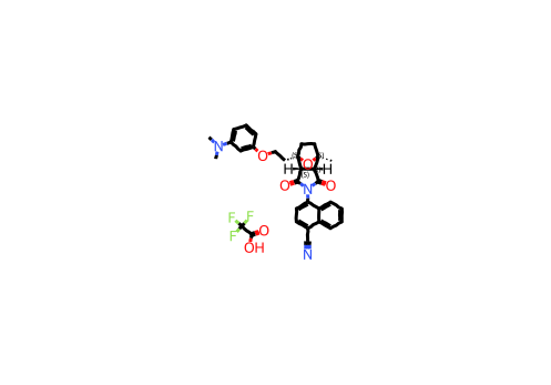 CN(C)c1cccc(OCC[C@]23CC[C@](C)(O2)[C@@H]2C(=O)N(c4ccc(C#N)c5ccccc45)C(=O)[C@@H]23)c1.O=C(O)C(F)(F)F